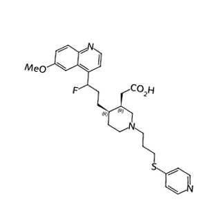 COc1ccc2nccc(C(F)CC[C@@H]3CCN(CCCSc4ccncc4)C[C@@H]3CC(=O)O)c2c1